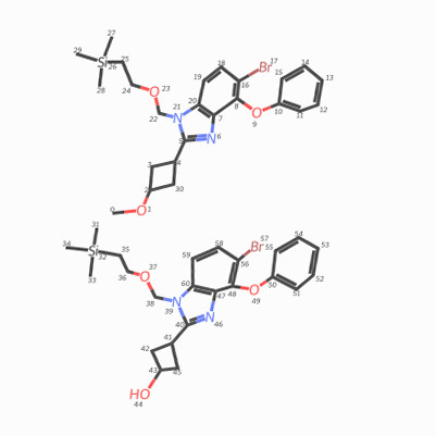 COC1CC(c2nc3c(Oc4ccccc4)c(Br)ccc3n2COCC[Si](C)(C)C)C1.C[Si](C)(C)CCOCn1c(C2CC(O)C2)nc2c(Oc3ccccc3)c(Br)ccc21